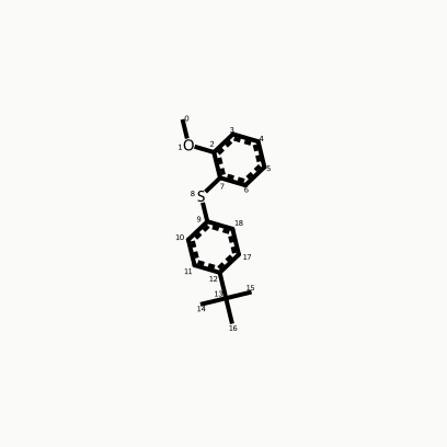 COc1ccccc1Sc1ccc(C(C)(C)C)cc1